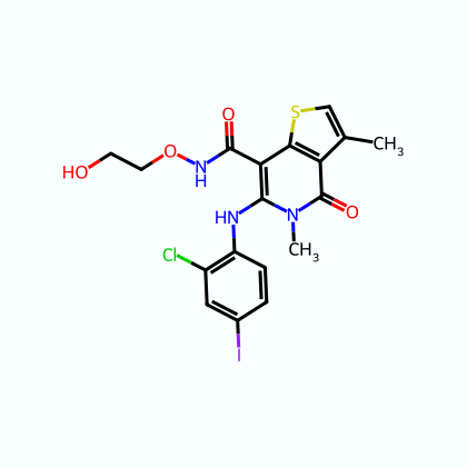 Cc1csc2c(C(=O)NOCCO)c(Nc3ccc(I)cc3Cl)n(C)c(=O)c12